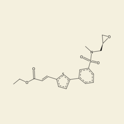 CCOC(=O)/C=C/c1ccc(-c2cccc(S(=O)(=O)N(C)C[C@H]3CO3)c2)s1